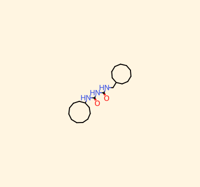 O=C(NCC1CCCCCCCCC1)NC(=O)NC1CCCCCCCCCC1